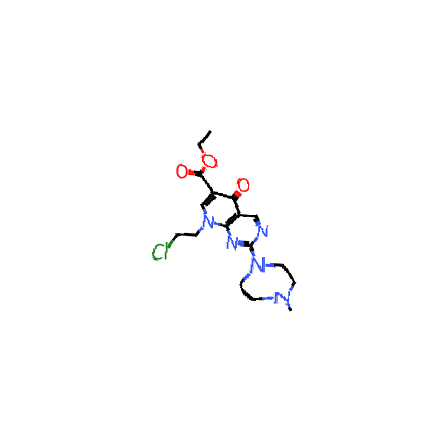 CCOC(=O)c1cn(CCCl)c2nc(N3CCN(C)CC3)ncc2c1=O